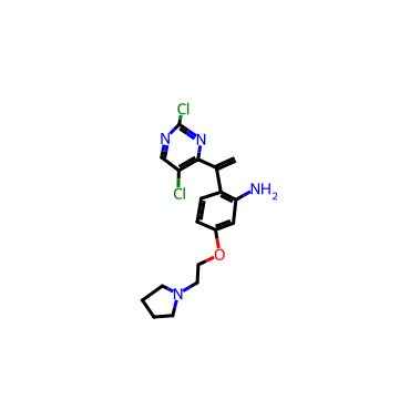 C=C(c1ccc(OCCN2CCCC2)cc1N)c1nc(Cl)ncc1Cl